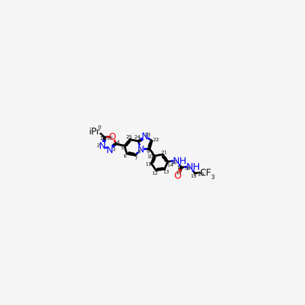 CC(C)c1nnc(-c2ccn3c(-c4cccc(NC(=O)NCC(F)(F)F)c4)cnc3c2)o1